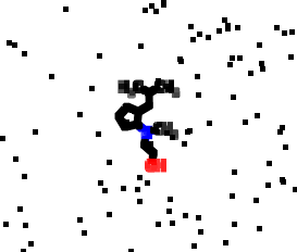 CC(C)CC1CCCC1N(C)CCO